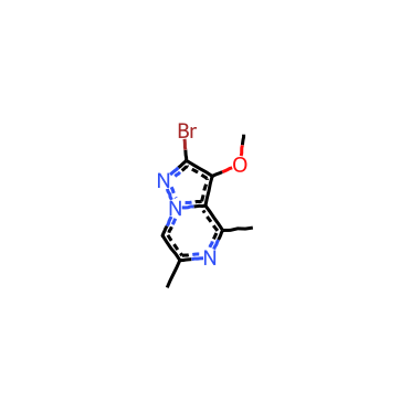 COc1c(Br)nn2cc(C)nc(C)c12